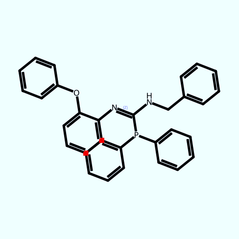 c1ccc(CN/C(=N/c2ccccc2Oc2ccccc2)P(c2ccccc2)c2ccccc2)cc1